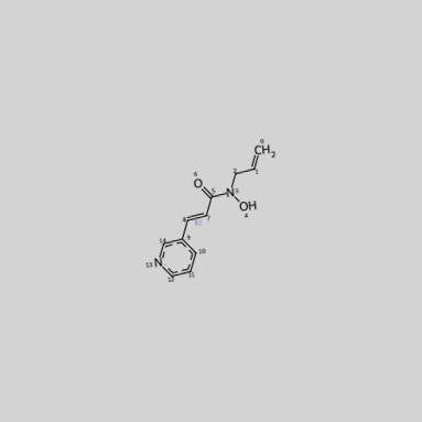 C=CCN(O)C(=O)/C=C/c1cccnc1